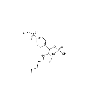 CCCCCNC(CF)C(OP(=O)(O)O)c1ccc(S(=O)(=O)CF)cc1